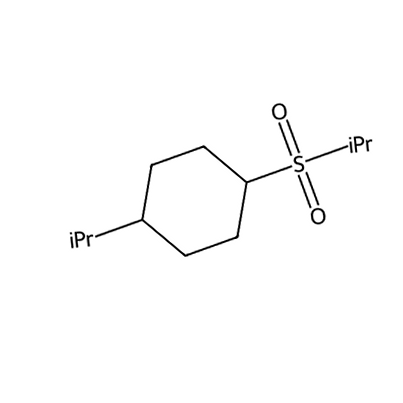 CC(C)C1CCC(S(=O)(=O)C(C)C)CC1